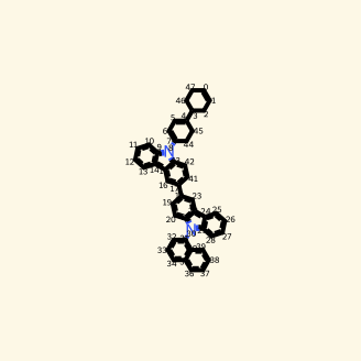 C1=CCC(C2=CC=C(n3c4ccccc4c4cc(-c5ccc6c(c5)c5ccccc5n6-c5cccc6ccccc56)ccc43)CC2)CC1